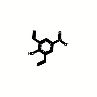 C=Cc1cc([N+](=O)[O-])cc(C=S)c1O